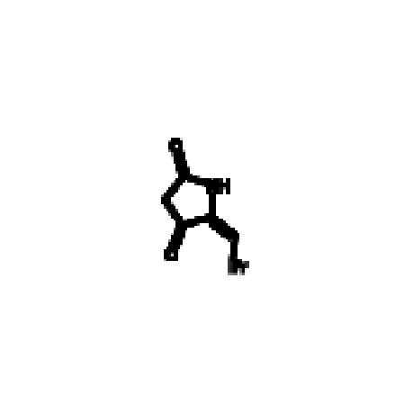 CC(C)C=C1NC(=O)CC1=O